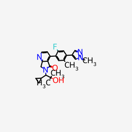 Cc1cc(-c2ccnc3c2C(=O)N(C(C2CC2)C(C)(C)O)C3)c(F)cc1-c1cnn(C)c1